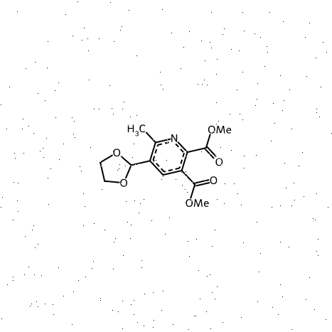 COC(=O)c1cc(C2OCCO2)c(C)nc1C(=O)OC